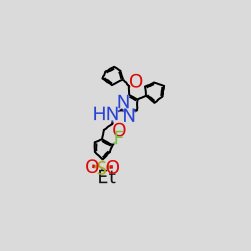 CCS(=O)(=O)c1ccc(CC(=O)Nc2ncc(-c3ccccc3)c(C(=O)c3ccccc3)n2)c(F)c1